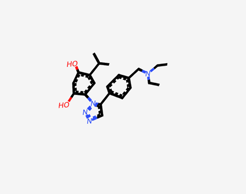 CCN(CC)Cc1ccc(-c2cnnn2-c2cc(C(C)C)c(O)cc2O)cc1